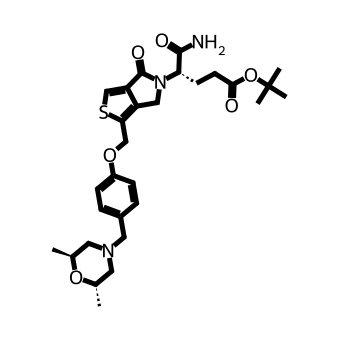 C[C@H]1CN(Cc2ccc(OCc3scc4c3CN([C@@H](CCC(=O)OC(C)(C)C)C(N)=O)C4=O)cc2)C[C@H](C)O1